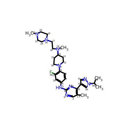 Cc1cnc(Nc2ccc(N3CCC(N(C)CCN4CCN(C)CC4)CC3)c(F)c2)nc1-c1cnn(C(C)C)c1